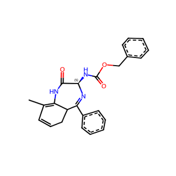 CC1=C2NC(=O)[C@@H](NC(=O)OCc3ccccc3)N=C(c3ccccc3)C2CC=C1